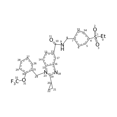 CCS(=O)(=O)c1ccc(CNC(=O)c2ccc3c(c2)nc(C2CC2)n3Cc2ccccc2OC(F)(F)F)cc1